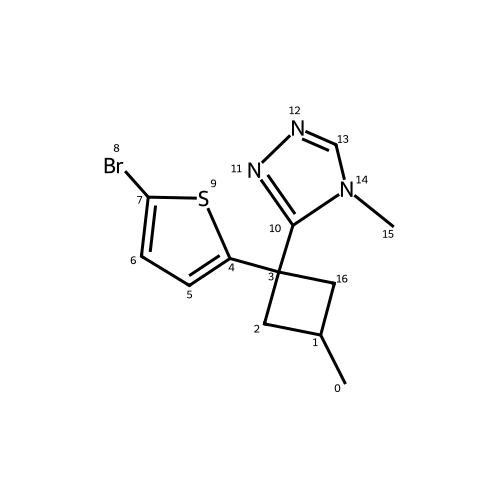 CC1CC(c2ccc(Br)s2)(c2nncn2C)C1